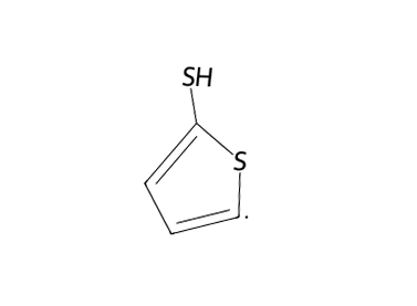 Sc1cc[c]s1